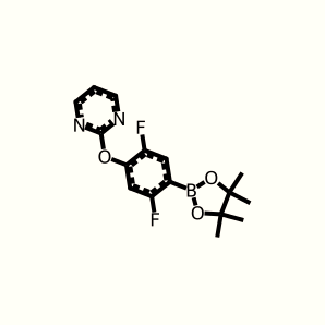 CC1(C)OB(c2cc(F)c(Oc3ncccn3)cc2F)OC1(C)C